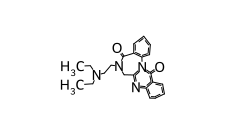 CCN(CC)CCN1Cc2nc3ccccc3c(=O)n2-c2ccccc2C1=O